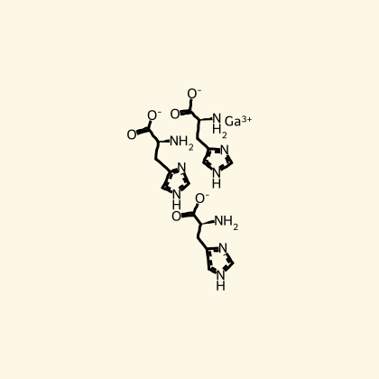 N[C@@H](Cc1c[nH]cn1)C(=O)[O-].N[C@@H](Cc1c[nH]cn1)C(=O)[O-].N[C@@H](Cc1c[nH]cn1)C(=O)[O-].[Ga+3]